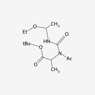 CCOC(C)NC(=O)N(C(C)=O)C(C)C(=O)OC(C)(C)C